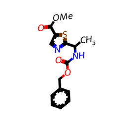 COC(=O)c1cnc(C(C)NC(=O)OCc2ccccc2)s1